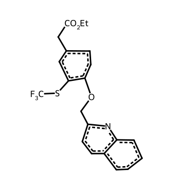 CCOC(=O)Cc1ccc(OCc2ccc3ccccc3n2)c(SC(F)(F)F)c1